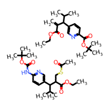 C=C(C(=O)OCC)C(c1ccc(C(=O)OC(C)(C)C)nc1)C(C)C.CCOC(=O)C(CSC(C)=O)C(c1ccc(NC(=O)OC(C)(C)C)nc1)C(C)C